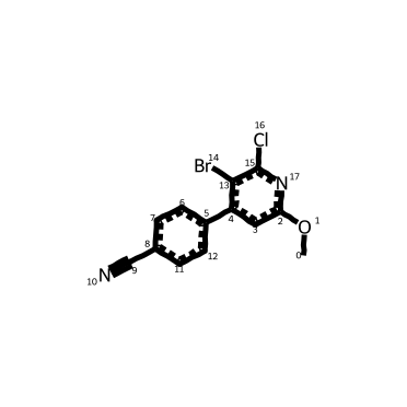 COc1cc(-c2ccc(C#N)cc2)c(Br)c(Cl)n1